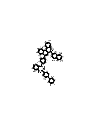 c1ccc(-c2ccc(-c3nc(-c4ccc(-c5cc6c(-c7ccc8ccccc8c7)nc7ccccc7c6c6ccccc56)cc4)c4ccccc4n3)cc2)cc1